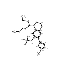 CCCCC(CCC)N1CCCc2cc(-c3cnn(C)c3)c(OC(F)(F)F)cc21